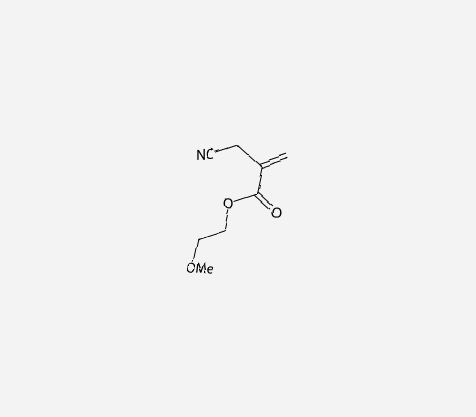 C=C(CC#N)C(=O)OCCOC